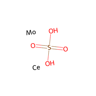 O=S(=O)(O)O.[Ce].[Mo]